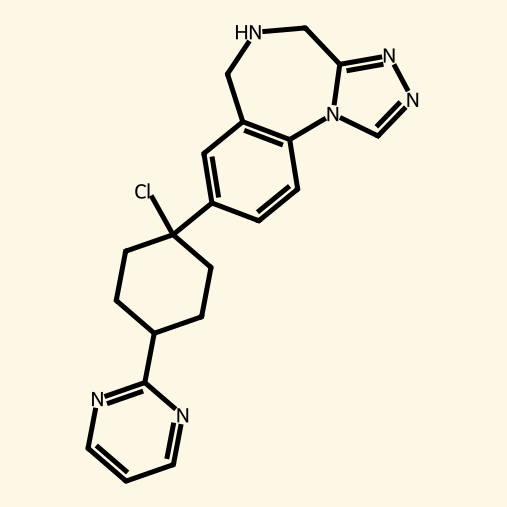 ClC1(c2ccc3c(c2)CNCc2nncn2-3)CCC(c2ncccn2)CC1